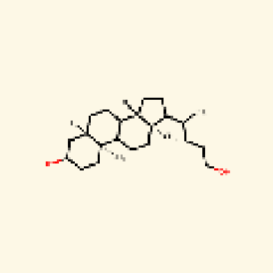 CC(CCCO)C1CC[C@H]2C3CC[C@@H]4C[C@H](O)CC[C@]4(C)C3CC[C@]12C